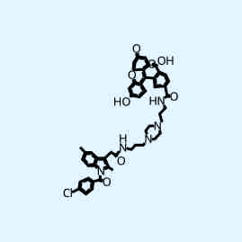 Cc1ccc2c(c1)c(CC(=O)NCCCN1CCN(CCCNC(=O)c3ccc(C(=O)O)c(-c4c5ccc(=O)cc-5oc5cc(O)ccc45)c3)CC1)c(C)n2C(=O)c1ccc(Cl)cc1